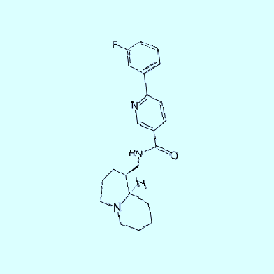 O=C(NC[C@@H]1CCCN2CCCC[C@H]12)c1ccc(-c2cccc(F)c2)nc1